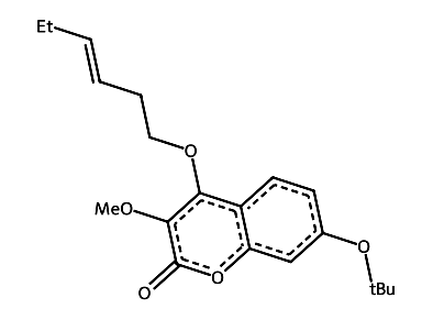 CCC=CCCOc1c(OC)c(=O)oc2cc(OC(C)(C)C)ccc12